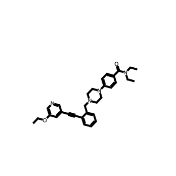 CCOc1cncc(C#Cc2ccccc2CN2CCN(c3ccc(C(=O)N(CC)CC)cc3)CC2)c1